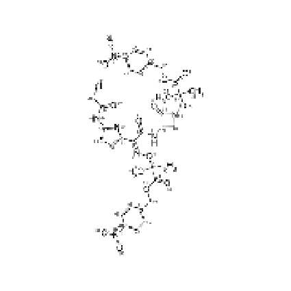 CC(C)(O/N=C(\C(=O)N[C@H]1CN(OC(C)(C)C(=O)OCc2ccc([N+](=O)[O-])cc2)C1=O)c1csc(NC(=O)CCl)n1)C(=O)OCc1ccc([N+](=O)[O-])cc1